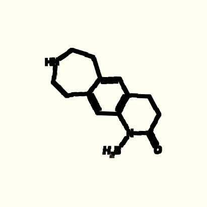 BN1C(=O)CCc2cc3c(cc21)CCNCC3